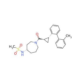 Cc1ccccc1-c1ccccc1[C@@H]1C[C@H]1C(=O)N1CCC[C@H](NS(C)(=O)=O)CC1